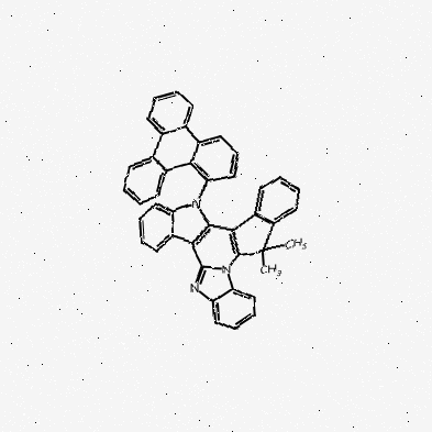 CC1(C)c2ccccc2-c2c1n1c3ccccc3nc1c1c3ccccc3n(-c3cccc4c5ccccc5c5ccccc5c34)c21